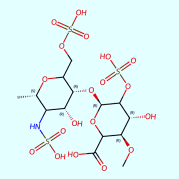 CO[C@H]1C(C(=O)O)O[C@@H](O[C@H]2C(COS(=O)(=O)O)O[C@@H](C)C(NS(=O)(=O)O)[C@H]2O)C(OS(=O)(=O)O)[C@@H]1O